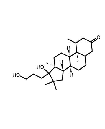 CC1CC(=O)CC2CC[C@@H]3[C@@H](CC[C@@]4(C)[C@H]3CC(C)(C)C4(O)CCCO)[C@@]12C